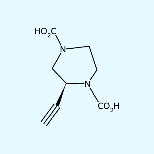 C#C[C@H]1CN(C(=O)O)CCN1C(=O)O